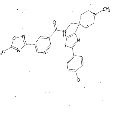 Cc1nc(-c2cncc(C(=O)NCC3(c4csc(-c5ccc(Cl)cc5)n4)CCN(C)CC3)c2)no1